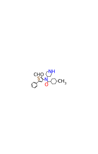 CC1CCC(C(=O)N(c2cc(-c3ccccc3)sc2C=O)C2CCNCC2)CC1